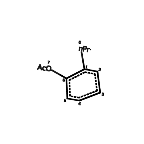 CC[CH]c1ccccc1OC(C)=O